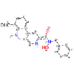 CN(C)c1c(C=O)cccc1-c1ccnc(C(=O)N(O)Cc2ccccc2)c1